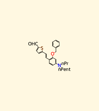 CCCCCN(CCC)c1ccc(/C=C/c2ccc(C=O)s2)c(OCc2ccccc2)c1